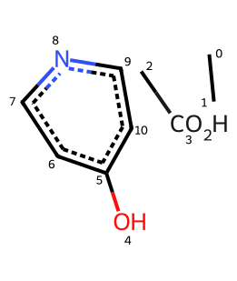 CC.CC(=O)O.Oc1ccncc1